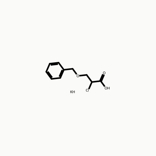 O=C(O)C(Cl)COCc1ccccc1.[KH]